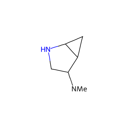 CNC1CNC2CC12